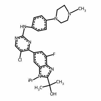 CC(C)n1c(C(C)(C)O)nc2c(F)cc(-c3nc(Nc4ccc(N5CCN(C)CC5)cc4)ncc3Cl)cc21